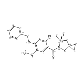 COc1cc2c(cc1OCc1ccccc1)NC[C@@H]1CC3(CC3)CN1C2=O